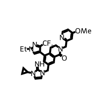 CCn1cc(-c2cc(Cn3ccn(C4CC4)c3=N)cc3c2CCN(Cc2cc(OC)ccn2)C3=O)c(C(F)(F)F)n1